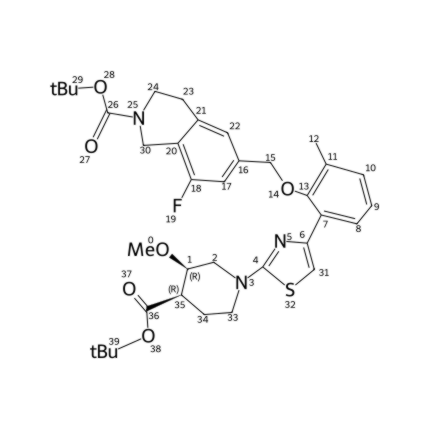 CO[C@H]1CN(c2nc(-c3cccc(C)c3OCc3cc(F)c4c(c3)CCN(C(=O)OC(C)(C)C)C4)cs2)CC[C@H]1C(=O)OC(C)(C)C